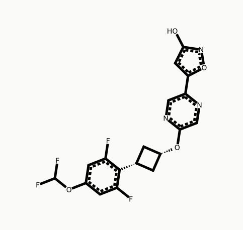 Oc1cc(-c2cnc(O[C@H]3C[C@@H](c4c(F)cc(OC(F)F)cc4F)C3)cn2)on1